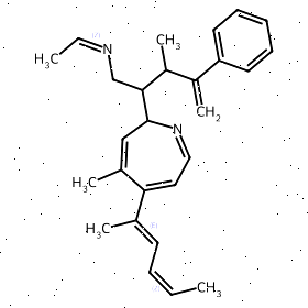 C=C(c1ccccc1)C(C)C(C/N=C\C)C1C=C(C)C(/C(C)=C/C=C\C)=CC=N1